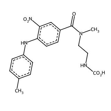 Cc1ccc(Nc2ccc(C(=O)N(C)CCNC(=O)O)cc2[N+](=O)[O-])cc1